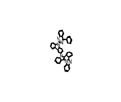 c1ccc(-c2nc(-n3c4ccccc4c4cc(-n5c6ccccc6c6c5c5ccccc5c5nc7ccccc7n56)ccc43)nc3ccccc23)cc1